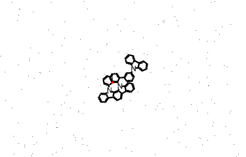 c1ccc(-n2c3ccccc3c3ccc4c5ccccc5n(-c5ccccc5-c5cccc(-n6c7ccccc7c7ccccc76)c5)c4c32)cc1